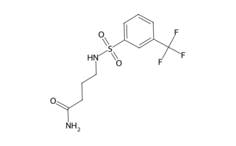 NC(=O)CCCNS(=O)(=O)c1cccc(C(F)(F)F)c1